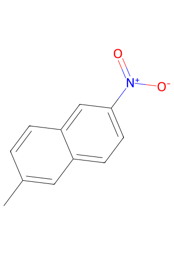 Cc1ccc2cc([N+](=O)[O-])ccc2c1